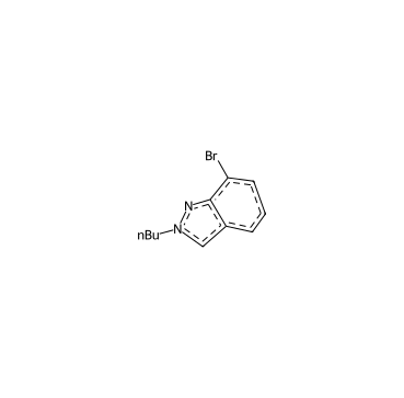 CCCCn1cc2cccc(Br)c2n1